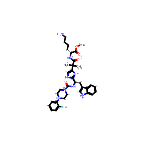 CC(C)(C)OC(=O)[C@@H](CCCCN)NC(=O)C(C)(C)c1c[nH]c([C@@H](Cc2c[nH]c3ccccc23)NC(=O)N2CCN(c3ccccc3F)CC2)n1